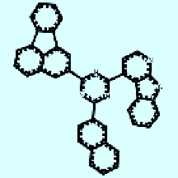 c1ccc2c(c1)-c1cccc3cc(-c4nc(-c5ccc6ccccc6c5)nc(-c5ccnc6oc7ccccc7c56)n4)cc-2c13